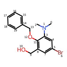 CN(C)c1cc(Br)cc(CO)c1OCc1ccccc1